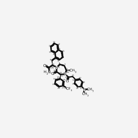 C[C@@H]1CCN([C@H](Cc2cccc3ccccc23)C(N)=O)C(=O)[C@H](c2cccc(C(F)(F)F)c2)N1C(=O)Cc1ccc(N(C)C)cc1